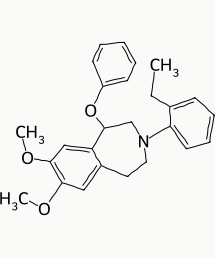 CCc1ccccc1N1CCc2cc(OC)c(OC)cc2C(Oc2ccccc2)C1